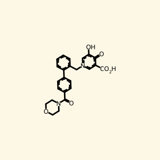 O=C(O)c1cn(Cc2ccccc2-c2ccc(C(=O)N3CCOCC3)cc2)cc(O)c1=O